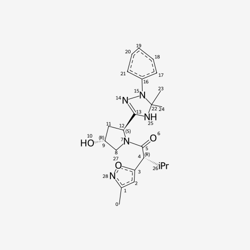 Cc1cc([C@H](C(=O)N2C[C@H](O)C[C@H]2C2=NN(c3ccccc3)C(C)(C)N2)C(C)C)on1